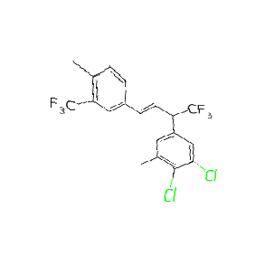 Cc1ccc(/C=C/C(c2cc(C)c(Cl)c(Cl)c2)C(F)(F)F)cc1C(F)(F)F